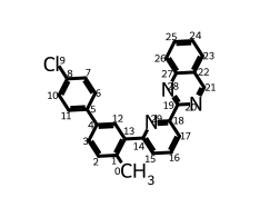 Cc1ccc(-c2ccc(Cl)cc2)cc1-c1cccc(-c2ncc3ccccc3n2)n1